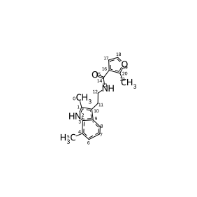 Cc1[nH]c2c(C)cccc2c1CCNC(=O)c1ccoc1C